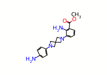 COC(=O)c1cccc(N2CC3(CN(c4ccc(N)cc4)C3)C2)c1N